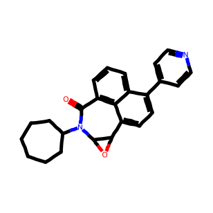 O=C1c2cccc3c(-c4ccncc4)ccc(c23)C2OC2N1C1CCCCCC1